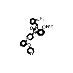 COc1cccc2c1n(Cc1ccccc1C(F)(F)F)c(=O)n2C1CCN(c2ccccc2OC2CCOCC2)CC1